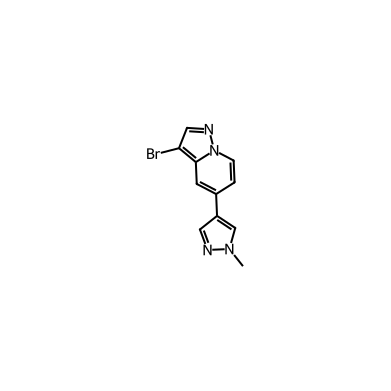 Cn1cc(-c2ccn3ncc(Br)c3c2)cn1